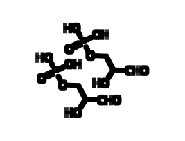 O=CC(O)COP(=O)(O)O.O=CC(O)COP(=O)(O)O